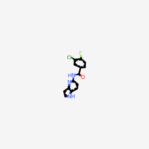 O=C(Nc1ccc2[nH]ccc2n1)c1ccc(F)c(Cl)c1